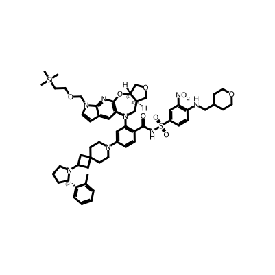 Cc1ccccc1[C@@H]1CCCN1C1CC2(CCN(c3ccc(C(=O)NS(=O)(=O)c4ccc(NCC5CCOCC5)c([N+](=O)[O-])c4)c(N4C[C@@H]5COC[C@H]5Oc5nc6c(ccn6COCC[Si](C)(C)C)cc54)c3)CC2)C1